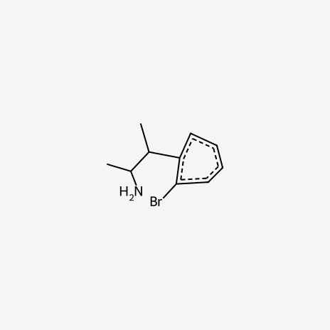 CC(N)C(C)c1ccccc1Br